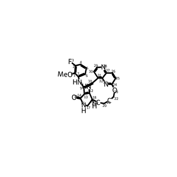 COc1c(F)cccc1Nc1c2[nH]c3c1C(=O)NC[C@H]3CCCCOc1ccc3nccc-2c3n1